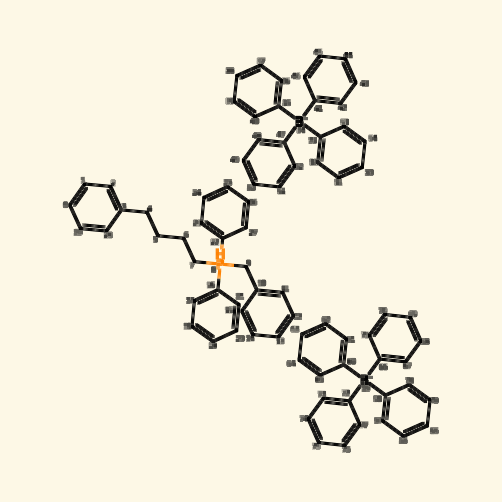 c1ccc(CCCC[PH](Cc2ccccc2)(c2ccccc2)c2ccccc2)cc1.c1ccc([B-](c2ccccc2)(c2ccccc2)c2ccccc2)cc1.c1ccc([B-](c2ccccc2)(c2ccccc2)c2ccccc2)cc1